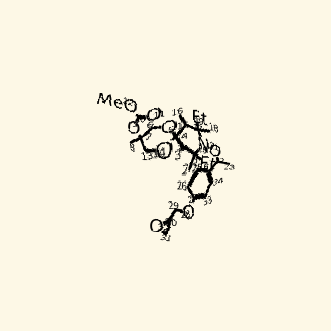 CCC1(C)CC2(OCC(C)(OC(=O)OC)CO2)C(C)C(C)(CC)N1OC(C)c1ccc(OCC2CO2)cc1